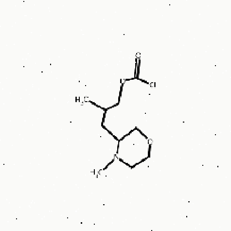 CC(COC(=O)Cl)CC1COCCN1C